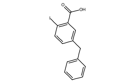 O=C(O)c1cc(Cc2ccccc2)ccc1I